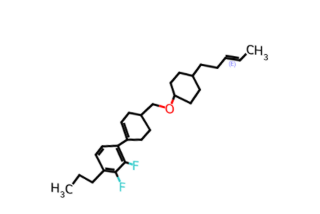 C/C=C/CCC1CCC(OCC2CC=C(c3ccc(CCC)c(F)c3F)CC2)CC1